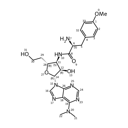 COc1ccc(C[C@H](N)C(=O)N[C@H]2[C@@H](O)[C@H](n3cnc4c(N(C)C)ncnc43)O[C@@H]2CCO)cc1